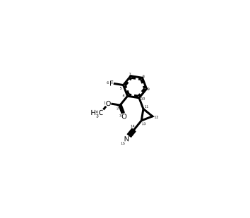 COC(=O)c1c(F)cccc1C1CC1C#N